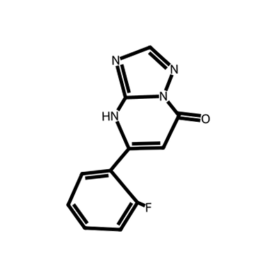 O=c1cc(-c2ccccc2F)[nH]c2ncnn12